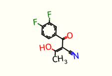 CC(O)=C(C#N)C(=O)c1ccc(F)c(F)c1